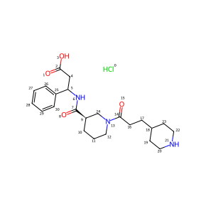 Cl.O=C(O)CC(NC(=O)[C@@H]1CCCN(C(=O)CCC2CCNCC2)C1)c1ccccc1